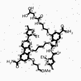 CCn1nc(C)cc1C(=O)Nc1nc2cc(C(N)=O)cc(OCCCNC(=O)NCC(O)O)c2n1C/C=C/Cn1c2nc(-c3cc(C)nn3CC)ncc2c2cc(C(N)=O)cc(OCCCOC)c21